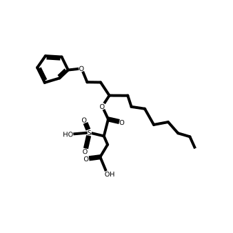 CCCCCCCCC(CCOc1ccccc1)OC(=O)C(CC(=O)O)S(=O)(=O)O